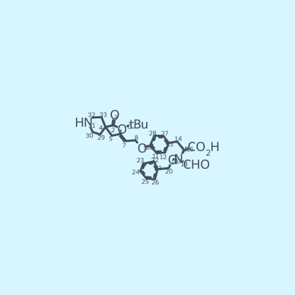 CC(C)(C)OC(=O)C1(CC=CCOc2ccc(CC(C(=O)O)N(C=O)OCc3ccccc3)cc2)CCNCC1